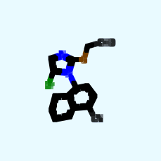 N#Cc1ccc(-n2c(Br)cnc2SCC=O)c2ccccc12